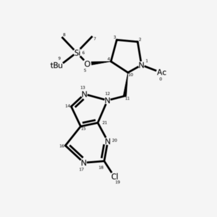 CC(=O)N1CC[C@H](O[Si](C)(C)C(C)(C)C)[C@@H]1Cn1ncc2cnc(Cl)nc21